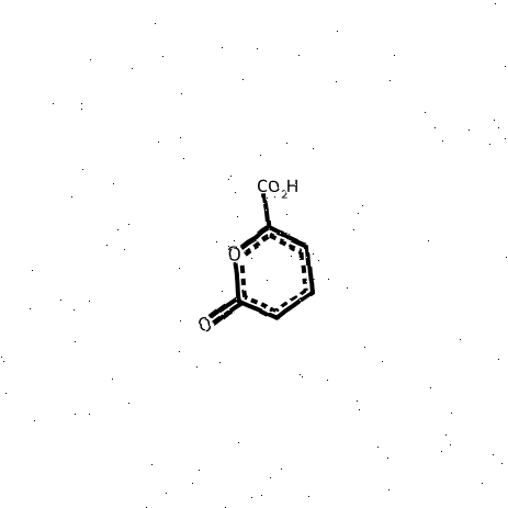 O=C(O)c1cccc(=O)o1